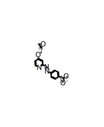 O=[N+]([O-])c1ccc(/N=N/c2cc(OC[C@@H]3CO3)ccn2)cc1